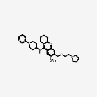 COc1cc2c(NC3CCN(c4cccnc4)CC3)c3c(nc2cc1COCCN1CCCC1)CCCC3